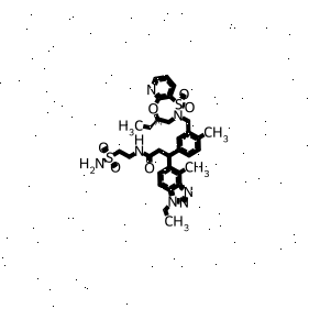 CC[C@@H]1CN(Cc2cc(C(CC(=O)NCCS(N)(=O)=O)c3ccc4c(nnn4CC)c3C)ccc2C)S(=O)(=O)c2cccnc2O1